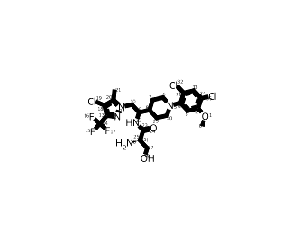 COc1cc(N2CCC(C(Cn3nc(C(F)(F)F)c(Cl)c3C)NC(=O)[C@@H](N)CO)CC2)c(Cl)cc1Cl